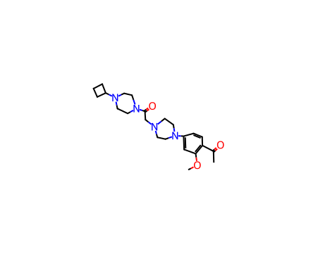 COc1cc(N2CCN(CC(=O)N3CCN(C4CCC4)CC3)CC2)ccc1C(C)=O